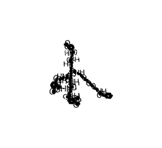 CC(=O)Oc1cccc(C(=O)NCCNC(=O)CNCCN(CCN(CCNCC(=O)NCCNC(=O)c2cccc(OC(C)=O)c2OC(C)=O)CC(=O)NCCNC(=O)c2cccc(OC(C)=O)c2OC(C)=O)CC(=O)NCCCOCCOCCOCCCNC(=O)OCc2ccccc2)c1